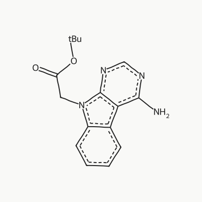 CC(C)(C)OC(=O)Cn1c2ccccc2c2c(N)ncnc21